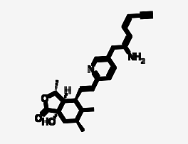 C#C/C=C\C=C(\N)Cc1ccc(/C=C/[C@H]2C(C)[C@@H](C)C[C@@]3(O)C(=O)O[C@H](C)[C@@H]23)nc1